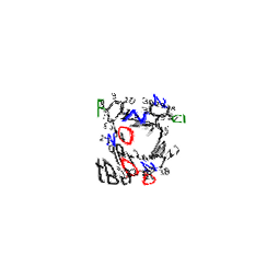 CC(C)N(C)C(=O)c1cc(F)ccc1-n1cc(C[C@H]2CCN(C(=O)OC(C)(C)C)C2)c2c(Cl)cncc21